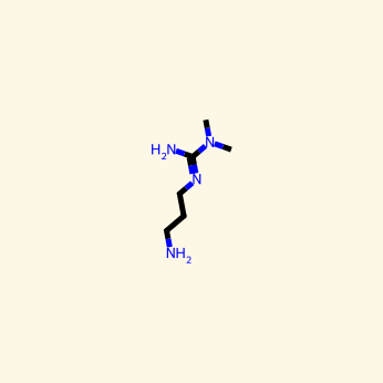 CN(C)C(N)=NCCCN